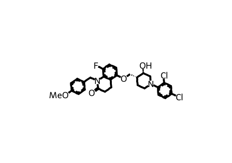 COc1ccc(CN2C(=O)CCc3c(OC[C@H]4CCN(c5ccc(Cl)cc5Cl)C[C@@H]4O)ccc(F)c32)cc1